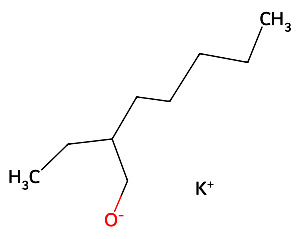 CCCCCC(CC)C[O-].[K+]